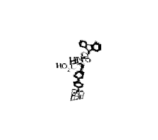 CC(C)(C)OC(=O)c1ccc(-c2ccc(C[C@H](NC(=O)OCC3c4ccccc4-c4ccccc43)C(=O)O)cc2)cc1